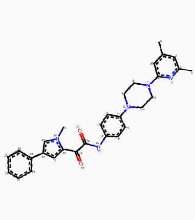 Cc1cc(C)nc(N2CCN(c3ccc(NC(=O)C(=O)c4cc(-c5ccccc5)cn4C)cc3)CC2)c1